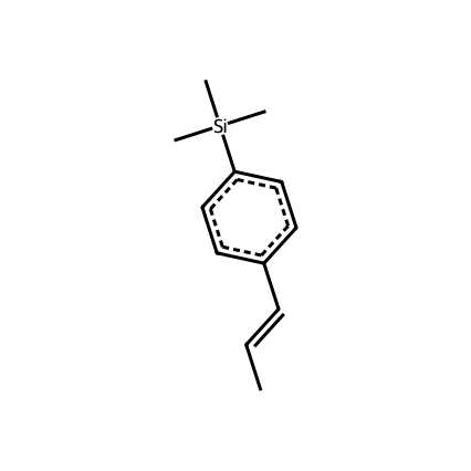 CC=Cc1ccc([Si](C)(C)C)cc1